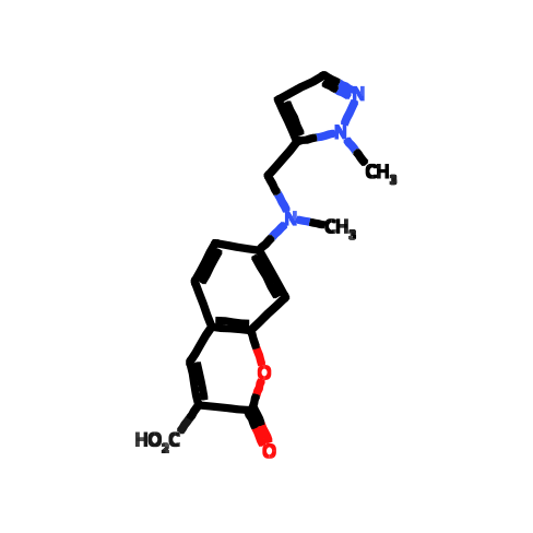 CN(Cc1ccnn1C)c1ccc2cc(C(=O)O)c(=O)oc2c1